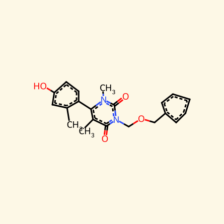 Cc1cc(O)ccc1-c1c(C)c(=O)n(COCc2ccccc2)c(=O)n1C